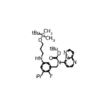 CC(C)c1cc(NCCCO[Si](C)(C)C(C)(C)C)cc(CN(C(=O)OC(C)(C)C)c2ccnc3ccnn23)c1F